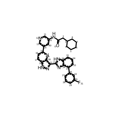 O=C(CC1CCCCC1)Nc1cncc(-c2ccc3[nH]nc(-c4nc5c(-c6cccc(F)c6)cccc5[nH]4)c3n2)c1